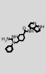 N=C(N)N(CC1CCC(C(=O)Nc2ccnc3[nH]ccc23)CC1)c1ccccc1